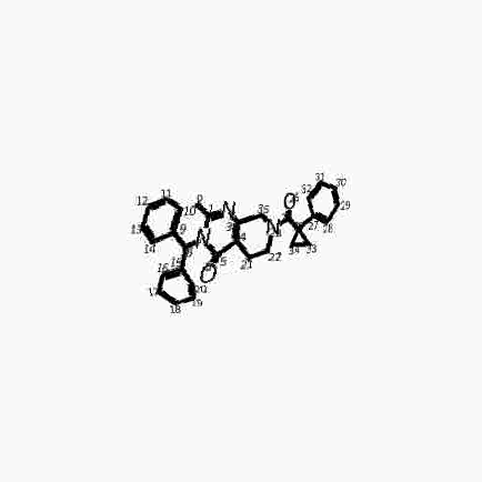 Cc1nc2c(c(=O)n1C(c1ccccc1)c1ccccc1)CCN(C(=O)C1(c3ccccc3)CC1)C2